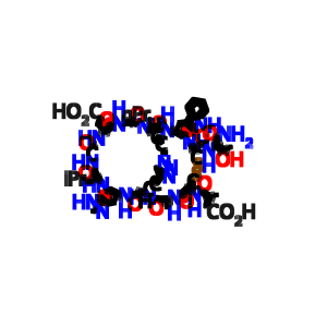 CCC[C@@H]1NC(=O)[C@H](CCC(=O)O)NC(=O)CNC(=O)[C@H](CC(C)C)NC(=O)[C@H](Cc2c[nH]cn2)NC(=O)[C@@H]2CCc3cn(nn3)CCC[C@H](NC1=O)C(=O)N[C@@H](Cc1c[nH]c3ccccc13)C(=O)N[C@H](C(=O)N[C@H](C(N)=O)[C@@H](C)O)CSSC[C@H](NC(=O)[C@@H](C)CC(=O)O)C(=O)N[C@@H](C)C(=O)N2